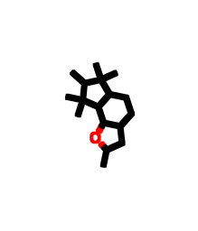 CC1CC2CCC3C(C2O1)C(C)(C)C(C)C3(C)C